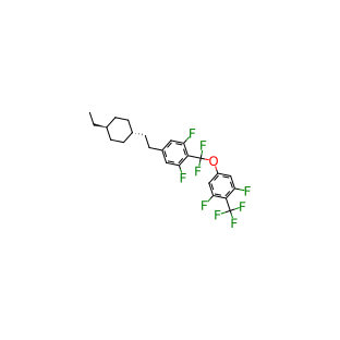 CC[C@H]1CC[C@H](CCc2cc(F)c(C(F)(F)Oc3cc(F)c(C(F)(F)F)c(F)c3)c(F)c2)CC1